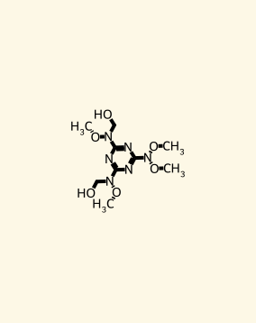 CON(CO)c1nc(N(CO)OC)nc(N(OC)OC)n1